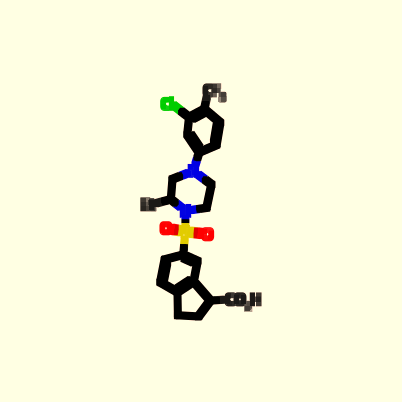 CCC1CN(c2ccc(C(F)(F)F)c(Cl)c2)CCN1S(=O)(=O)c1ccc2c(c1)C(C(=O)O)CC2